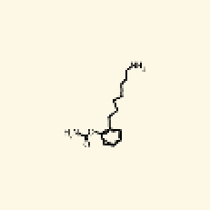 NCCCCCCCc1ccccc1OC(N)=O